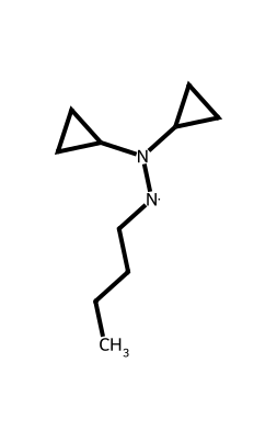 CCCC[N]N(C1CC1)C1CC1